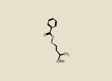 COC(C)C[CH]OOC(=O)c1ccccc1